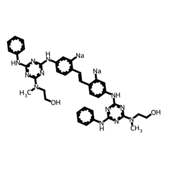 CN(CCO)c1nc(Nc2ccccc2)nc(Nc2ccc(C=Cc3ccc(Nc4nc(Nc5ccccc5)nc(N(C)CCO)n4)c[c]3[Na])[c]([Na])c2)n1